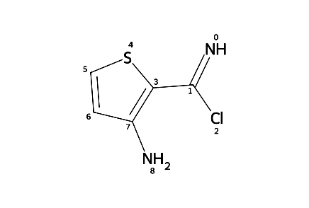 N=C(Cl)c1sccc1N